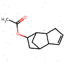 CC(=O)OC1CC2CC1C1CC=CC21